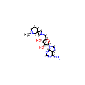 CN1CCCC2(C1)CN(C[C@H]1O[C@@H](n3cnc4c(N)ncnc43)[C@H](O)[C@@H]1O)C2